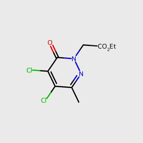 CCOC(=O)Cn1nc(C)c(Cl)c(Cl)c1=O